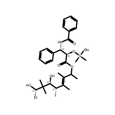 CC[C@H](O)C(C)(C)[C@@H](O)[C@@H](C)/C(C)=C(\C)C(C)OC(=O)[C@H](O[Si](C)(C)C(C)(C)C)[C@@H](NC(=O)c1ccccc1)c1ccccc1